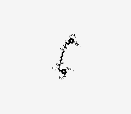 COc1cc(CC(C)OC(=O)NCCCCCCNC(=O)OC(C)Cc2cc(OC)cc(OC)c2)cc(OC)c1